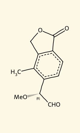 CO[C@@H](C=O)c1ccc2c(c1C)COC2=O